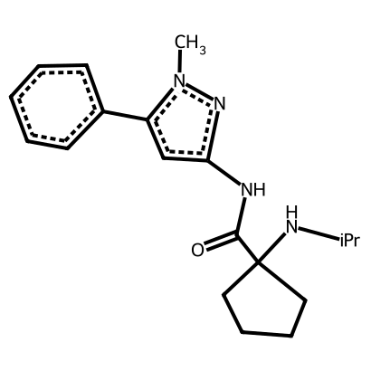 CC(C)NC1(C(=O)Nc2cc(-c3ccccc3)n(C)n2)CCCC1